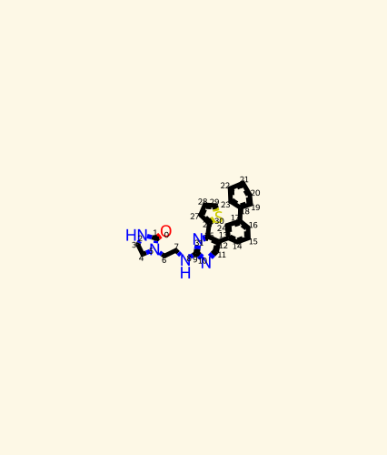 O=C1NCCN1CCNc1ncc(-c2cccc(-c3ccccc3)c2)c(-c2cccs2)n1